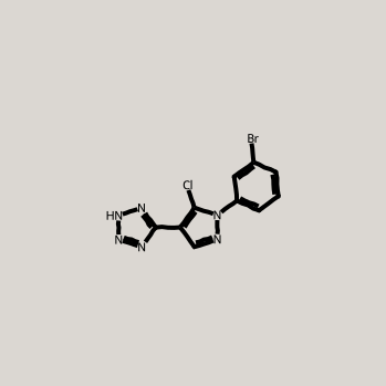 Clc1c(-c2nn[nH]n2)cnn1-c1cccc(Br)c1